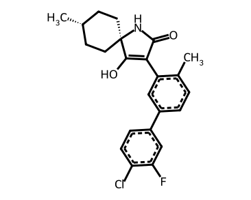 Cc1ccc(-c2ccc(Cl)c(F)c2)cc1C1=C(O)[C@]2(CC[C@@H](C)CC2)NC1=O